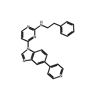 c1ccc(CCNc2nccc(-n3cnc4cc(-c5ccncc5)ccc43)n2)cc1